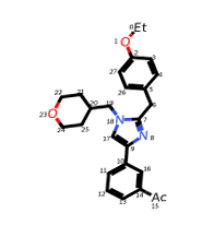 CCOc1ccc(Cc2nc(-c3cccc(C(C)=O)c3)cn2CC2CCOCC2)cc1